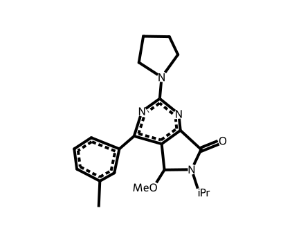 COC1c2c(nc(N3CCCC3)nc2-c2cccc(C)c2)C(=O)N1C(C)C